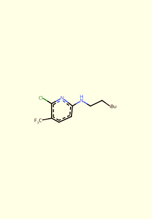 CC[C](C)CCNc1ccc(C(F)(F)F)c(Cl)n1